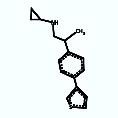 CC(CNC1CC1)c1ccc(-c2ccsc2)cc1